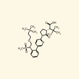 CC(C)(C)N(C(=O)O)[C@H]1CCN(c2ccc(-c3ccccc3N(COCC[Si](C)(C)C)S(C)(=O)=O)cn2)C1=O